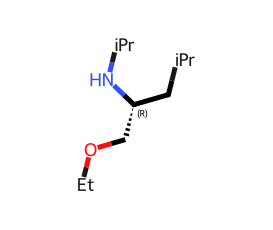 CCOC[C@@H](CC(C)C)NC(C)C